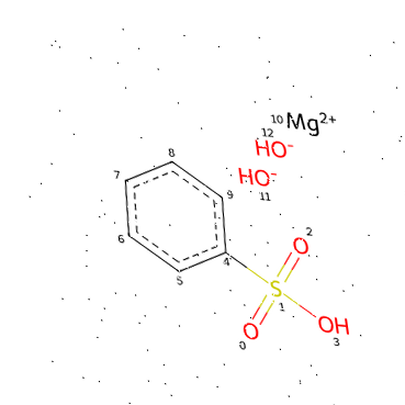 O=S(=O)(O)c1ccccc1.[Mg+2].[OH-].[OH-]